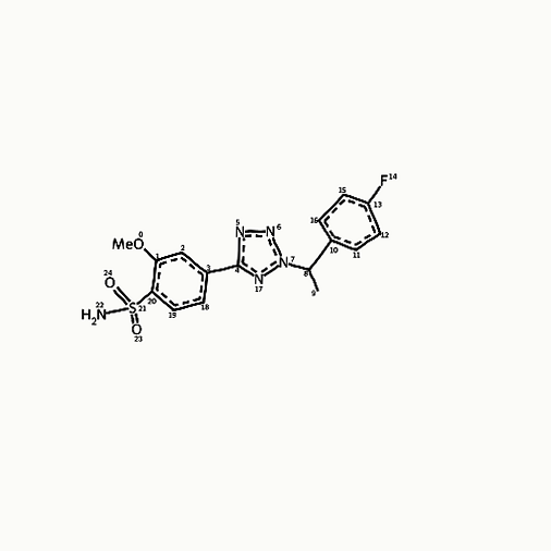 COc1cc(-c2nnn(C(C)c3ccc(F)cc3)n2)ccc1S(N)(=O)=O